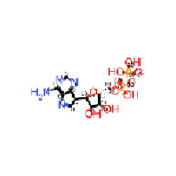 Nc1ncnc2c1N=CC2C1O[C@H](COP(=O)(O)OP(=O)(O)O)C(O)C1O